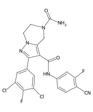 N#Cc1ccc(NC(=O)c2c(-c3cc(Cl)c(F)c(Cl)c3)nn3c2CN(C(N)=O)CC3)cc1F